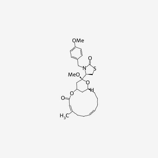 COc1ccc(CN2C(=O)SC[C@H]2[C@@]2(OC)CC3C[C@@H](CCC/C=C\CC/C(C)=C\C(=O)O3)O2)cc1